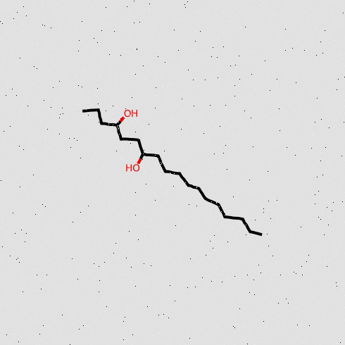 CCCCCCCCCCCC(O)CCC(O)CCC